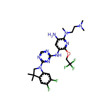 CN(C)CCN(C)c1nc(OCC(F)(F)F)c(Nc2ncnc(N3CC(C)(C)c4cc(F)c(F)cc43)n2)cc1N